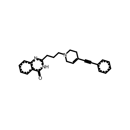 O=c1[nH]c(CCCN2CC=C(C#Cc3ccccc3)CC2)nc2ccccc12